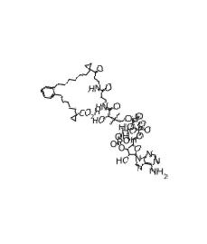 CC(C)(COP(=O)(O)OP(=O)(O)OCC1OC(n2cnc3c(N)ncnc32)C(O)C1OP(=O)(O)O)C(O)C(=O)NCCC(=O)NCCC(=O)C1(CCCCCCc2ccccc2CCCCCC2(C(=O)O)CC2)CC1